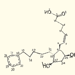 O=C(O)CCC/C=C\C[C@@H]1[C@@H](CCCCCc2ccccc2)[C@H](O)C[C@@H]1O